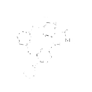 CCc1nc(C(N)=O)c(Nc2ccc(N3CCCC3)cc2)nc1Oc1cccc(N)c1